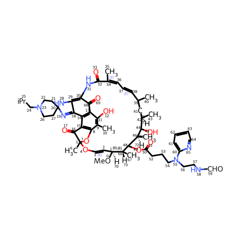 CO[C@H]1/C=C/OC2(C)Oc3c(C)c(O)c4c(c3C2=O)C2=NC3(CCN(CC(C)C)CC3)NC2=C(NC(=O)/C(C)=C\C=C\C(C)C[C@@H](C)C(O)[C@@H](C)C(OC(=O)CCCN(CCNC=O)c2ccccn2)[C@@H]1C)C4=O